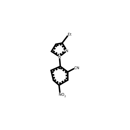 CCc1ccn(-c2ccc([N+](=O)[O-])cc2C#N)n1